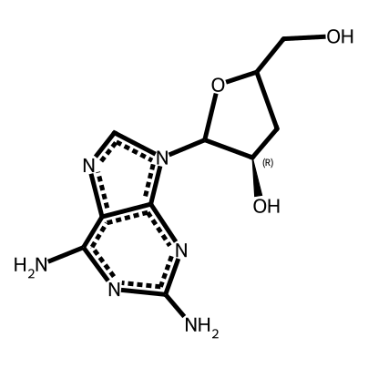 Nc1nc(N)c2ncn(C3OC(CO)C[C@H]3O)c2n1